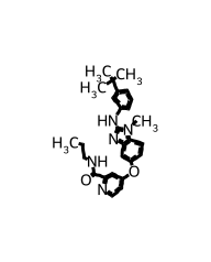 CCCNC(=O)c1cc(Oc2ccc3c(c2)nc(Nc2cccc(C(C)(C)C)c2)n3C)ccn1